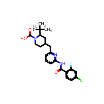 CC(C)(C)C1CC(Cc2cccc(NC(=O)c3ccc(Cl)cc3F)n2)CCN1C(=O)O